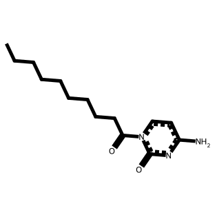 CCCCCCCCCC(=O)n1ccc(N)nc1=O